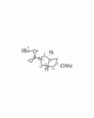 CO[C@H]1C[C@@H]2CN(C(=O)OC(C)(C)C)C[C@@H]2C1